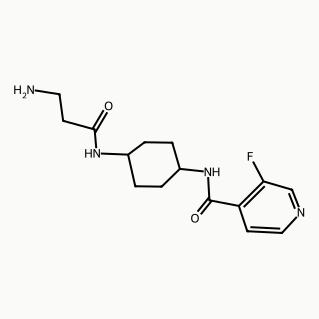 NCCC(=O)NC1CCC(NC(=O)c2ccncc2F)CC1